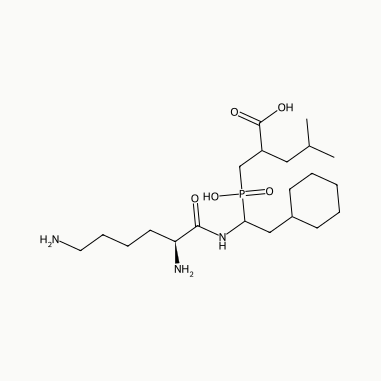 CC(C)CC(CP(=O)(O)C(CC1CCCCC1)NC(=O)[C@@H](N)CCCCN)C(=O)O